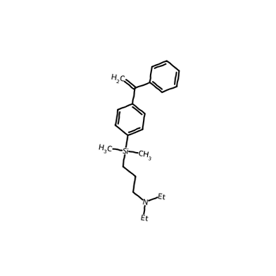 C=C(c1ccccc1)c1ccc([Si](C)(C)CCCN(CC)CC)cc1